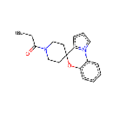 CC(C)(C)CC(=O)N1CCC2(CC1)Oc1ccccc1-n1cccc12